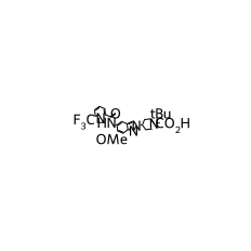 COc1cc(NC(=O)c2cccc(C(F)(F)F)n2)cc2cn(C3CCN(C(=O)O)C(C(C)(C)C)C3)nc12